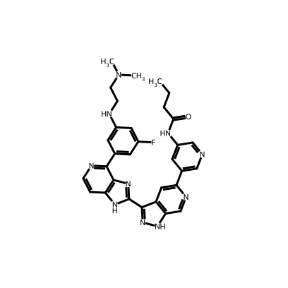 CCCC(=O)Nc1cncc(-c2cc3c(-c4nc5c(-c6cc(F)cc(NCCN(C)C)c6)nccc5[nH]4)n[nH]c3cn2)c1